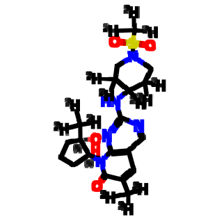 [2H]C([2H])([2H])c1cc2cnc(NC3([2H])C([2H])([2H])CN(S(=O)(=O)C([2H])([2H])[2H])CC3([2H])[2H])nc2n([C@H]2CCC[C@@]2(O)C([2H])([2H])[2H])c1=O